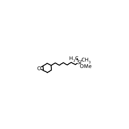 CO[Si](C)(C)CCCCCCC1CCC2OC2C1